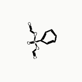 O=COP(=O)(OC=O)c1ccccc1